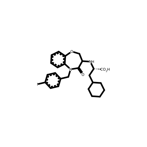 O=C(O)[C@H](CC1CCCCC1)NC1COc2ccccc2N(Cc2ccc(I)cc2)C1=O